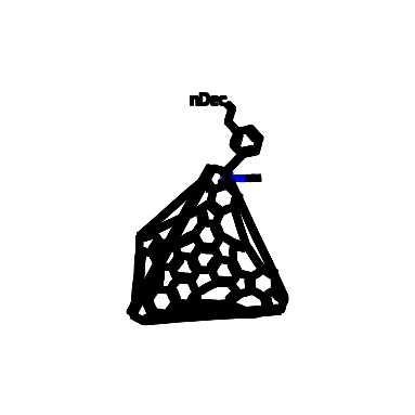 CCCCCCCCCCCCc1cccc(C2N(C)CC34c5c6c7c8c9c%10c(c%11c%12c3c3c%13c5c5c%14c6c6c8c8c9c9c%15c%10c%11c%10c%11c%12c3c3c%12c%13c5c5c%13c%14c6c6c8c8c9c9c%15c%10c%10c%11c3c3c%12c5c5c%13c6c8c6c9c%10c3c56)C724)c1